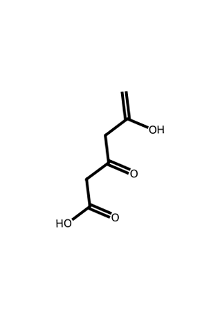 C=C(O)CC(=O)CC(=O)O